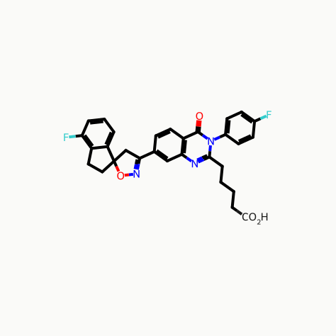 O=C(O)CCCCc1nc2cc(C3=NOC4(CCc5c(F)cccc54)C3)ccc2c(=O)n1-c1ccc(F)cc1